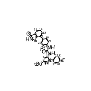 CC(C)(C)c1cc(NC(=O)Nc2ccc(-c3cccc4c3CNC4=O)cc2F)n(-c2ccc(F)cc2)n1